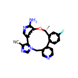 C[C@H]1Oc2cc(cnc2N)-c2c(C#N)ncn2Cc2cnccc2-c2ccc(F)cc21